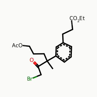 CCOC(=O)CCc1cccc(C(C)(CCCOC(C)=O)C(=O)CBr)c1